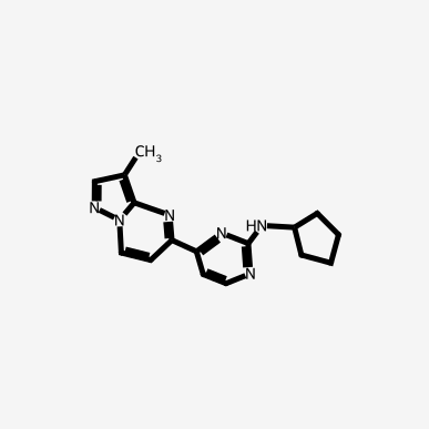 Cc1cnn2ccc(-c3ccnc(NC4CCCC4)n3)nc12